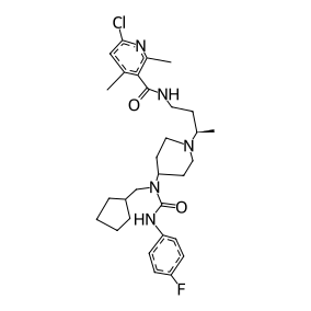 Cc1cc(Cl)nc(C)c1C(=O)NCC[C@@H](C)N1CCC(N(CC2CCCC2)C(=O)Nc2ccc(F)cc2)CC1